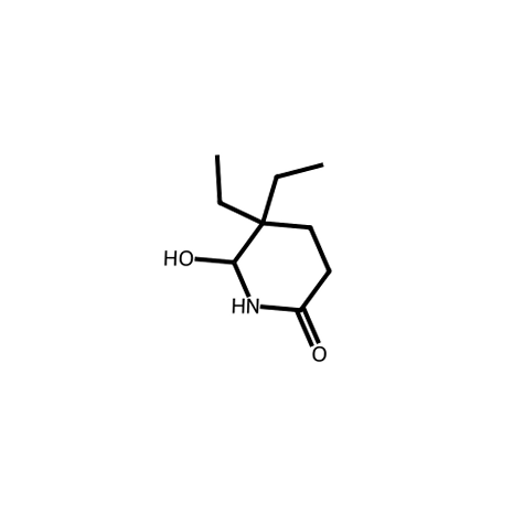 CCC1(CC)CCC(=O)NC1O